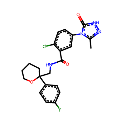 Cc1n[nH]c(=O)n1-c1ccc(Cl)c(C(=O)NCC2(c3ccc(F)cc3)CCCCO2)c1